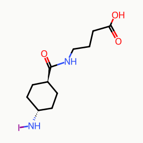 O=C(O)CCCNC(=O)[C@H]1CC[C@H](NI)CC1